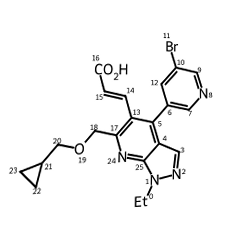 CCn1ncc2c(-c3cncc(Br)c3)c(/C=C/C(=O)O)c(COCC3CC3)nc21